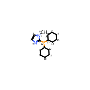 Cn1ccnc1P(C1CCCCC1)C1CCCCC1